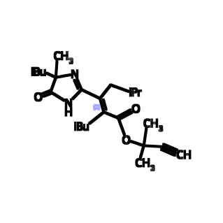 C#CC(C)(C)OC(=O)/C(=C(\CC(C)C)C1=NC(C)(C(C)CC)C(=O)N1)C(C)CC